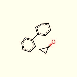 O=C1CC1.c1ccc(-c2ccccc2)cc1